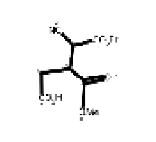 CCOC(=O)C(C#N)C(CC(=O)O)C(=O)OC